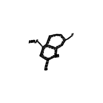 O=C(O)c1cc(=O)[nH]c2cc(F)ccc12